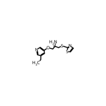 CCc1cncc(OC[C@@H](N)CSc2nccs2)c1